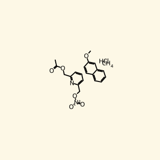 C.CC(=O)OCc1cccc(CO[N+](=O)[O-])n1.COc1ccc2ccccc2c1.Cl